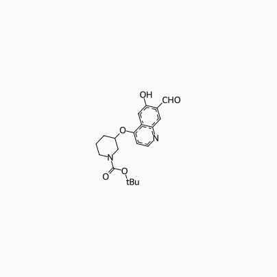 CC(C)(C)OC(=O)N1CCCC(Oc2ccnc3cc(C=O)c(O)cc23)C1